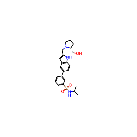 CC(C)NS(=O)(=O)c1cccc(-c2ccc3[nH]c(CN4CCC[C@@H]4CO)cc3c2)c1